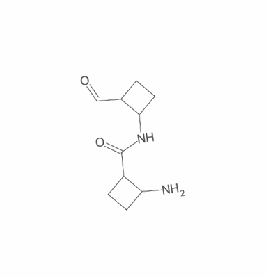 NC1CCC1C(=O)NC1CCC1C=O